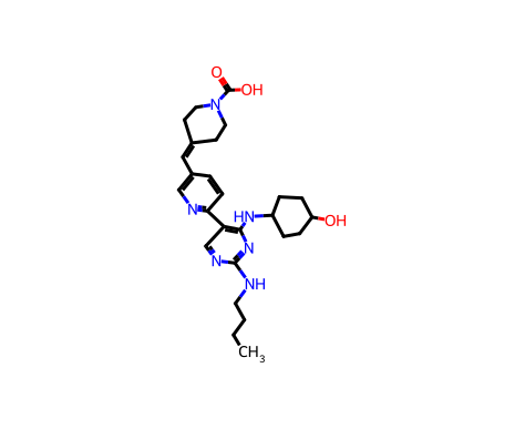 CCCCNc1ncc(-c2ccc(C=C3CCN(C(=O)O)CC3)cn2)c(NC2CCC(O)CC2)n1